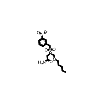 CCCCCOCN(CC(N)=O)S(=O)(=O)Cc1cccc([N+](=O)[O-])c1